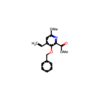 C=Cc1cc(OC)nc(C(=O)OC)c1OCc1ccccc1